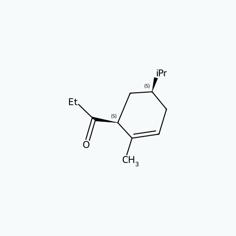 CCC(=O)[C@H]1C[C@@H](C(C)C)CC=C1C